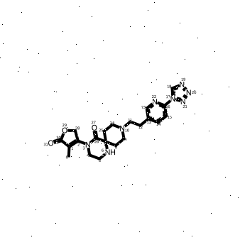 CC1=C(N2CCNC3(CCN(CCc4ccc(-n5cnnn5)nc4)CC3)C2=O)COC1=O